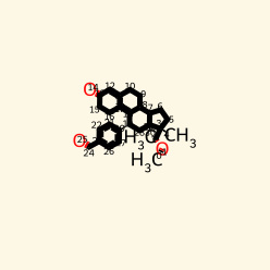 COC[C@]1(C)CCC2C3CCC4=CC(=O)CCC4=C3[C@@H](c3ccc(C=O)cc3)C[C@@]21C